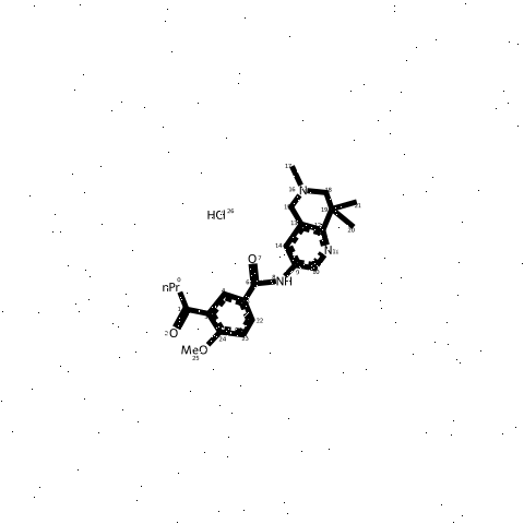 CCCC(=O)c1cc(C(=O)Nc2cnc3c(c2)CN(C)CC3(C)C)ccc1OC.Cl